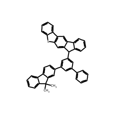 CC1(C)c2ccccc2-c2ccc(-c3cc(-c4ccccc4)cc(C4c5ccccc5-c5cc6c(cc54)sc4ccccc46)c3)cc21